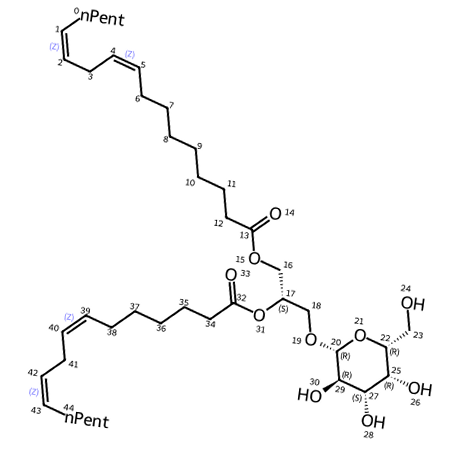 CCCCC/C=C\C/C=C\CCCCCCCC(=O)OC[C@H](CO[C@@H]1O[C@H](CO)[C@H](O)[C@H](O)[C@H]1O)OC(=O)CCCCC/C=C\C/C=C\CCCCC